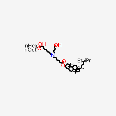 CCCCCCCCC(CCCCCC)OC(O)CCCCCCN(CCCCO)CCCCCC(=O)O[C@H]1CC[C@@]2(C)C(CC[C@H]3[C@@H]4CC[C@H]([C@H](C)CCC(CC)C(C)C)[C@@]4(C)CC[C@@H]32)C1